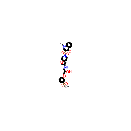 CCn1cc(S(=O)(=O)N2CCC3(CC2)C[C@@H](NC[C@H](O)COc2cccc(S(=O)(=O)C(C)C)c2)CO3)c(=O)c2ccccc21